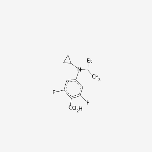 CC[C@@H](N(c1cc(F)c(C(=O)O)c(F)c1)C1CC1)C(F)(F)F